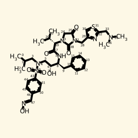 CC(C)CN(C[C@@H](O)[C@H](Cc1ccccc1)NC(=O)[C@H](C(C)C)N1CC(=O)N(Cc2csc(CN(C)C)n2)C1=O)S(=O)(=O)c1ccc(/C=N/O)cc1